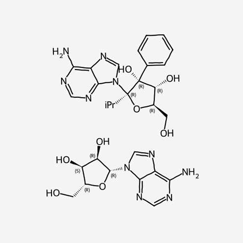 CC(C)[C@@]1(n2cnc3c(N)ncnc32)O[C@H](CO)[C@@H](O)[C@]1(O)c1ccccc1.Nc1ncnc2c1ncn2[C@@H]1O[C@H](CO)[C@@H](O)[C@H]1O